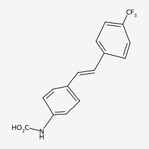 O=C(O)Nc1ccc(C=Cc2ccc(C(F)(F)F)cc2)cc1